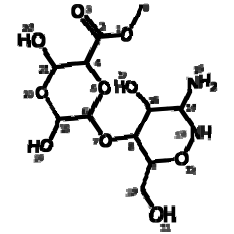 COC(=O)C1OC(OC2C(CO)ONC(N)C2O)C(O)OC1O